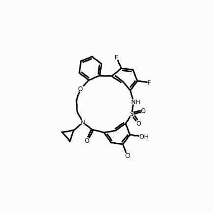 O=C1c2cc(Cl)c(O)c(c2)S(=O)(=O)Nc2cc(c(F)cc2F)-c2ccccc2OCCN1C1CC1